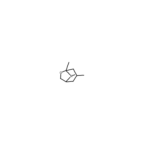 CC1CC2COC(C)(C1)N2C